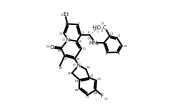 CCc1cc([C@H](C)Nc2ccccc2C(=O)O)c2cc(N3Cc4ccc(F)cc4C3)c(C)c(=O)n2c1